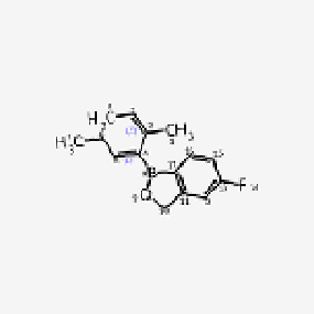 C/C=C(C)\C(=C/CC)B1OCc2cc(F)ccc21